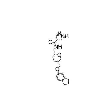 O=C(NC[C@H]1CC[C@@H](COc2ccc3c(c2)CCC3)CO1)C1C=NNC1